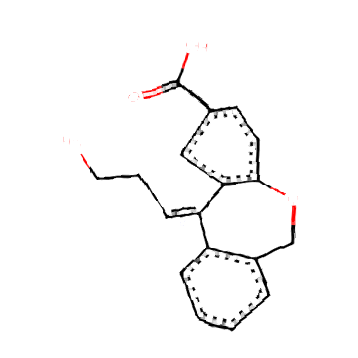 O=C(O)c1ccc2c(c1)/C(=C\CCO)c1ccccc1CO2